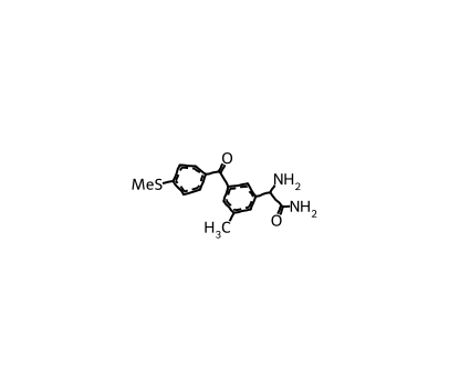 CSc1ccc(C(=O)c2cc(C)cc(C(N)C(N)=O)c2)cc1